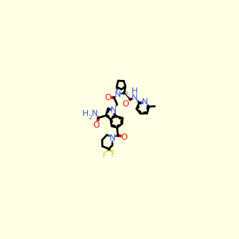 Cc1cccc(NC(=O)[C@@H]2C3CCC(C3)N2C(=O)Cn2cc(C(N)=O)c3cc(C(=O)N4CCCC(F)(F)C4)ccc32)n1